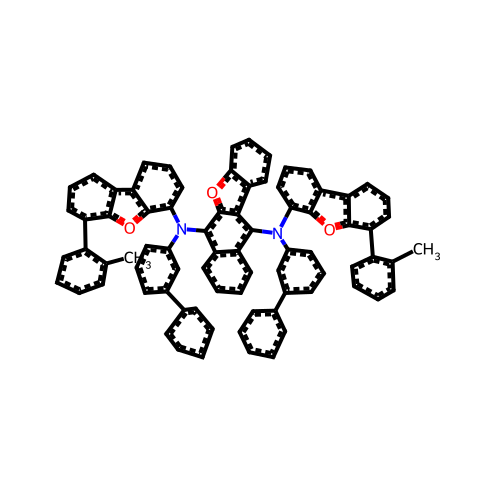 Cc1ccccc1-c1cccc2c1oc1c(N(c3cccc(-c4ccccc4)c3)c3c4ccccc4c(N(c4cccc(-c5ccccc5)c4)c4cccc5c4oc4c(-c6ccccc6C)cccc45)c4c3oc3ccccc34)cccc12